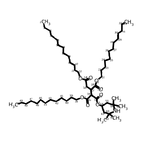 CCCCCCCCCCCCCOC(=O)CC(C(=O)OCCCCCCCCCCCCC)C(C(=O)OCCCCCCCCCCCCC)C(=O)OC1CC(C)(C)NC(C)(C)C1